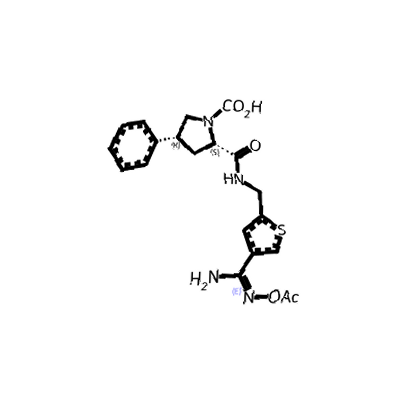 CC(=O)O/N=C(/N)c1csc(CNC(=O)[C@@H]2C[C@H](c3ccccc3)CN2C(=O)O)c1